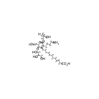 CCCCCCCCCCCC(=O)N(CCCCCCCCCCCC(=O)O)[C@@H](CCCCN)C(=O)OCC(C)O.OCC(O)CO